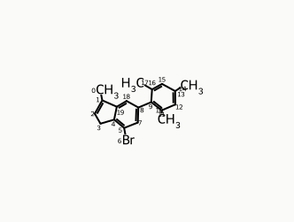 CC1=CCc2c(Br)cc(-c3c(C)cc(C)cc3C)cc21